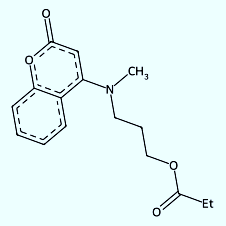 CCC(=O)OCCCN(C)c1cc(=O)oc2ccccc12